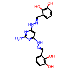 Nc1nc(N/N=C/c2cccc(O)c2O)cc(N/N=C/c2cccc(O)c2O)n1